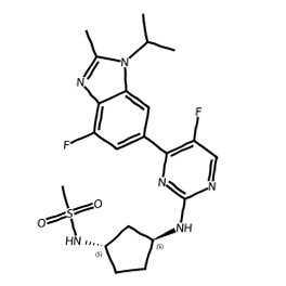 Cc1nc2c(F)cc(-c3nc(N[C@H]4CC[C@H](NS(C)(=O)=O)C4)ncc3F)cc2n1C(C)C